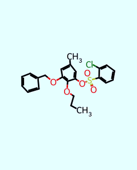 CCCOc1c(OCc2ccccc2)cc(C)cc1OS(=O)(=O)c1ccccc1Cl